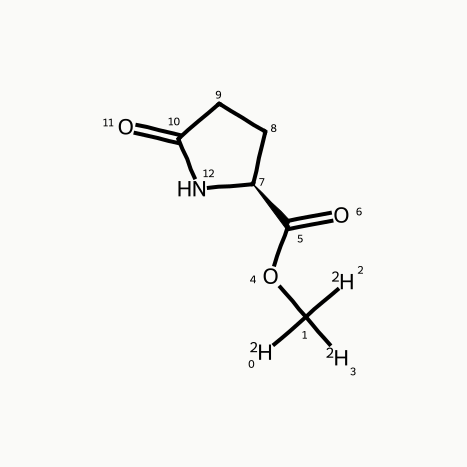 [2H]C([2H])([2H])OC(=O)[C@@H]1CCC(=O)N1